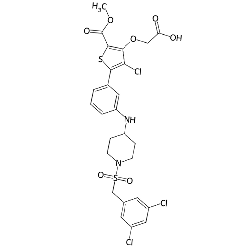 COC(=O)c1sc(-c2cccc(NC3CCN(S(=O)(=O)Cc4cc(Cl)cc(Cl)c4)CC3)c2)c(Cl)c1OCC(=O)O